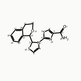 NC(=O)c1csc(N2C=CSC2C2OCCc3ccccc32)n1